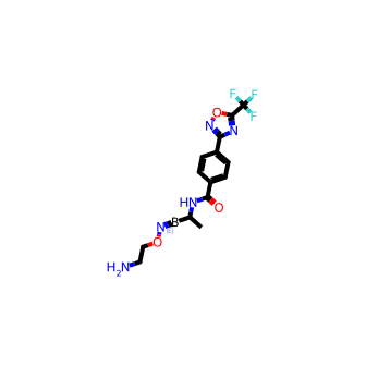 CC(/B=N/OCCN)NC(=O)c1ccc(-c2noc(C(F)(F)F)n2)cc1